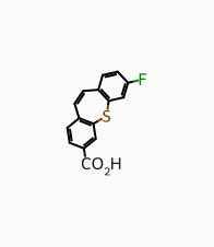 O=C(O)c1ccc2c(c1)Sc1cc(F)ccc1C=C2